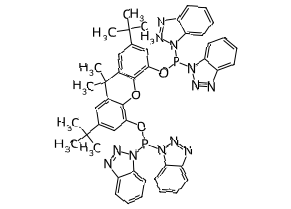 CC(C)(C)c1cc(OP(n2nnc3ccccc32)n2nnc3ccccc32)c2c(c1)C(C)(C)c1cc(C(C)(C)C)cc(OP(n3nnc4ccccc43)n3nnc4ccccc43)c1O2